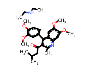 CCNCC.COc1ccc(-c2c(C(=O)CC(C)C)c(C)nc3cc(OC)c(OC)cc23)cc1OC